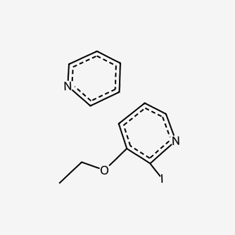 CCOc1cccnc1I.c1ccncc1